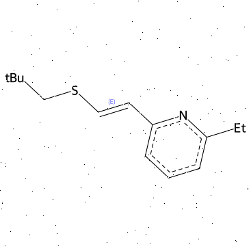 CCc1cccc(/C=C/SCC(C)(C)C)n1